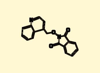 O=C1c2ccccc2C(=O)N1OCc1ccnc2ccccc12